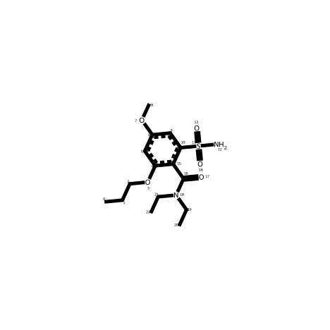 CCCOc1cc(OC)cc(S(N)(=O)=O)c1C(=O)N(CC)CC